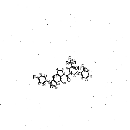 C[C@@H]1C2=C(CC[C@H]2C(=O)N(CCc2ccccc2F)CC(O)C(F)(F)F)Cc2c1cnn2-c1ccc(F)cc1